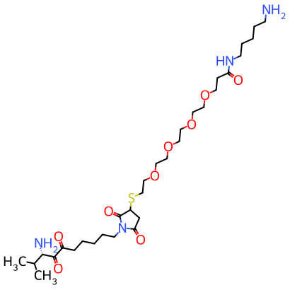 CC(C)[C@H](N)C(=O)C(=O)CCCCCN1C(=O)CC(SCCOCCOCCOCCOCCC(=O)NCCCCCN)C1=O